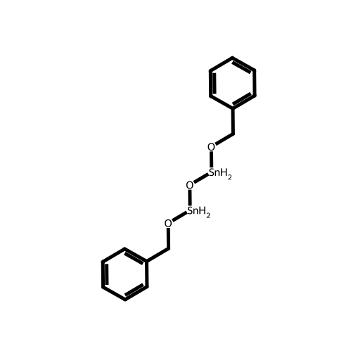 c1ccc(C[O][SnH2][O][SnH2][O]Cc2ccccc2)cc1